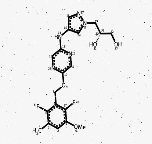 COc1cc(C)c(F)c(COc2cnc(Nc3cnn(C[C@@H](O)CO)c3)cn2)c1F